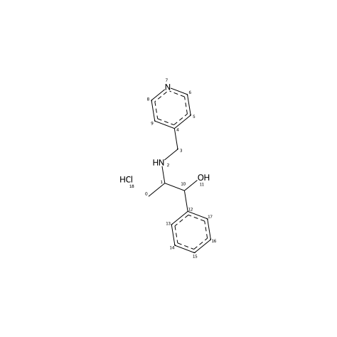 CC(NCc1ccncc1)C(O)c1ccccc1.Cl